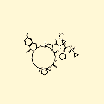 C=C[C@@H]1C[C@]1(NC(=O)[C@@H]1C[C@@H]2CN1C(=O)[C@H](C1CCCC1)NC(=O)O[C@@H]1CCC[C@H]1CCCCCn1c(nc3cc(Cl)ccc3c1=O)O2)C(=O)NS(=O)(=O)C1CC1